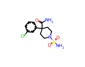 NC(=O)C1(c2cccc(Cl)c2)CCN(S(N)(=O)=O)CC1